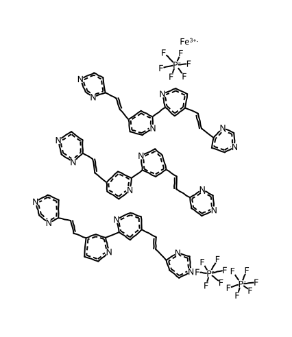 C(=Cc1ccncn1)c1ccnc(-c2cc(C=Cc3ccncn3)ccn2)c1.C(=Cc1ccncn1)c1ccnc(-c2cc(C=Cc3ccncn3)ccn2)c1.C(=Cc1ccncn1)c1ccnc(-c2cc(C=Cc3ccncn3)ccn2)c1.F[P-](F)(F)(F)(F)F.F[P-](F)(F)(F)(F)F.F[P-](F)(F)(F)(F)F.[Fe+3]